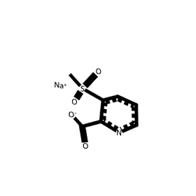 CS(=O)(=O)c1cccnc1C(=O)[O-].[Na+]